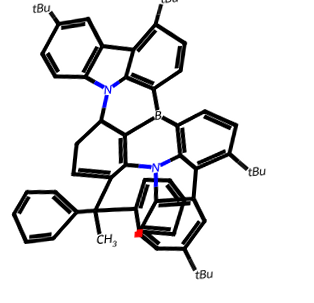 CC(C)(C)c1ccc2c(c1)c1c(C(C)(C)C)ccc3c1n2C1=C2B3c3ccc(C(C)(C)C)c4c5cc(C(C)(C)C)ccc5n(c34)C2CC=C1C(C)(c1ccccc1)c1ccccc1